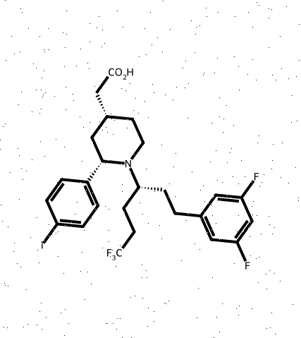 O=C(O)C[C@@H]1CCN([C@H](CCc2cc(F)cc(F)c2)CCC(F)(F)F)[C@H](c2ccc(I)cc2)C1